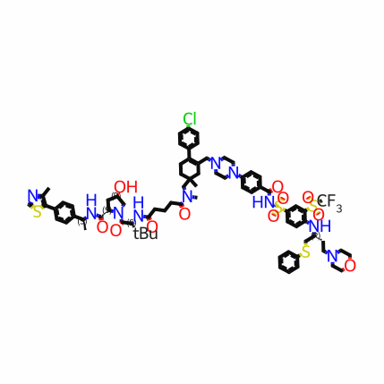 Cc1ncsc1-c1ccc([C@H](C)NC(=O)[C@@H]2C[C@@H](O)CN2C(=O)[C@@H](NC(=O)CCCC(=O)N(C)CC2(C)CCC(c3ccc(Cl)cc3)=C(CN3CCN(c4ccc(C(=O)NS(=O)(=O)c5ccc(N[C@H](CCN6CCOCC6)CSc6ccccc6)c(S(=O)(=O)C(F)(F)F)c5)cc4)CC3)C2)C(C)(C)C)cc1